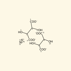 O=C([O-])C(O)C(O)C(=O)[O-].O=C([O-])C(O)C(O)C(=O)[O-].[K+].[Sb+3]